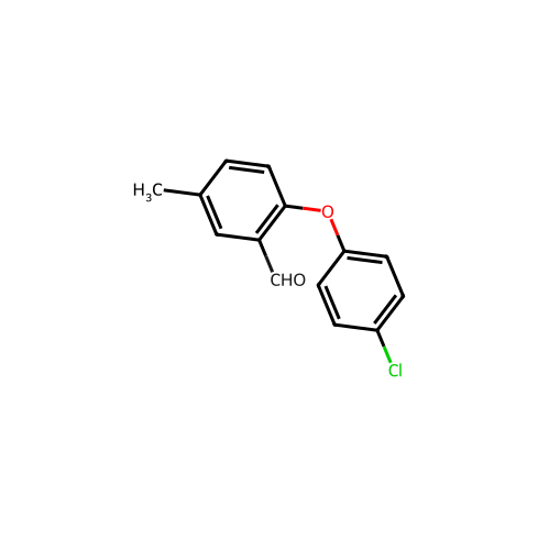 Cc1ccc(Oc2ccc(Cl)cc2)c(C=O)c1